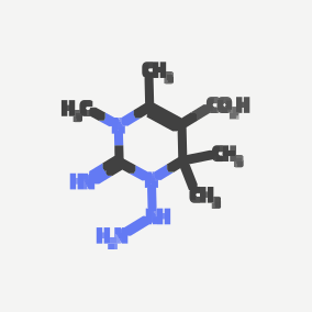 CC1=C(C(=O)O)C(C)(C)N(NN)C(=N)N1C